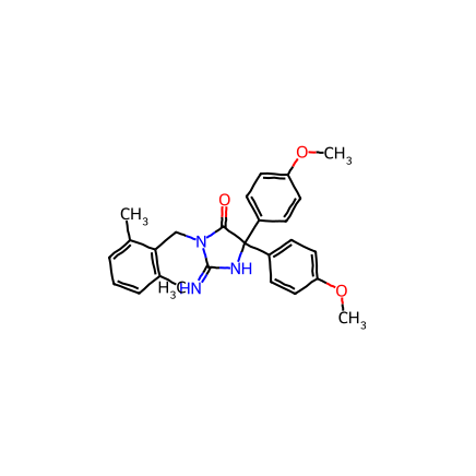 COc1ccc(C2(c3ccc(OC)cc3)NC(=N)N(Cc3c(C)cccc3C)C2=O)cc1